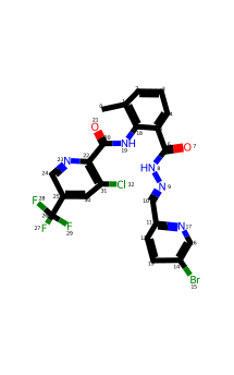 Cc1cccc(C(=O)NN=Cc2ccc(Br)cn2)c1NC(=O)c1ncc(C(F)(F)F)cc1Cl